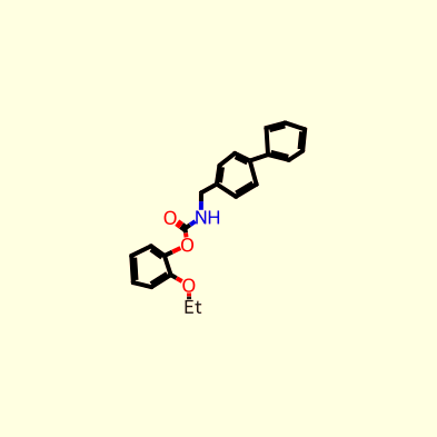 CCOc1ccccc1OC(=O)NCc1ccc(-c2ccccc2)cc1